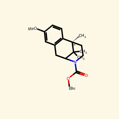 COc1ccc2c(c1)CC1N(C(=O)OC(C)(C)C)CC[C@@]2(C)C1(C)C